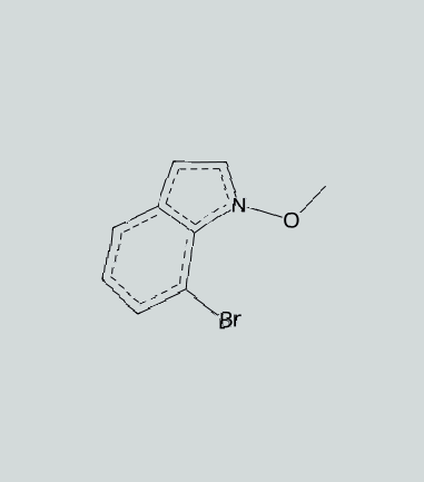 COn1ccc2cccc(Br)c21